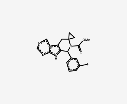 COC(=O)N1C(c2cccc(F)c2)c2[nH]c3ncncc3c2CC12CC2